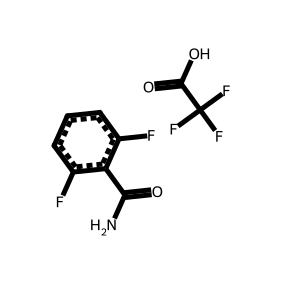 NC(=O)c1c(F)cccc1F.O=C(O)C(F)(F)F